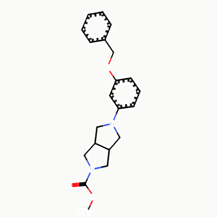 CC(C)(C)OC(=O)N1CC2CN(c3cccc(OCc4ccccc4)c3)CC2C1